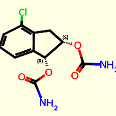 NC(=O)O[C@H]1Cc2c(Cl)cccc2[C@H]1OC(N)=O